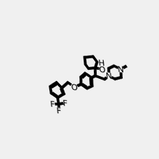 CN1CCN(CC(c2ccc(OCc3cccc(C(F)(F)F)c3)cc2)C2(O)CCCCC2)CC1